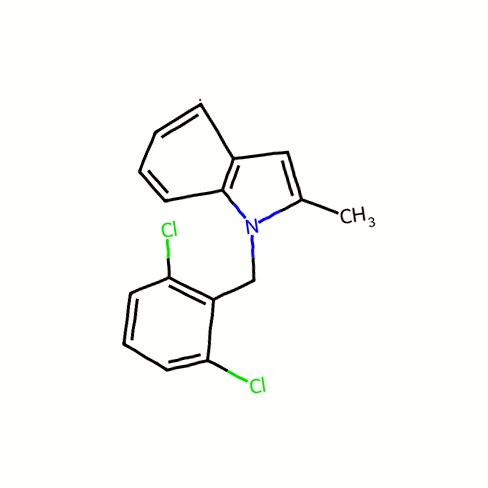 Cc1cc2[c]cccc2n1Cc1c(Cl)cccc1Cl